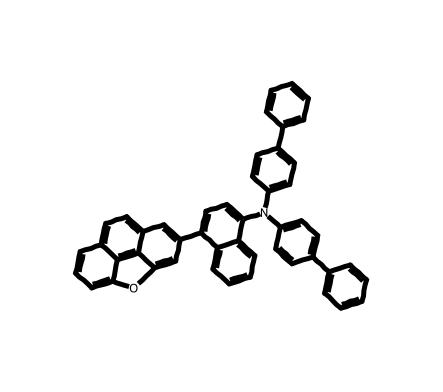 c1ccc(-c2ccc(N(c3ccc(-c4ccccc4)cc3)c3ccc(-c4cc5ccc6cccc7oc(c4)c5c67)c4ccccc34)cc2)cc1